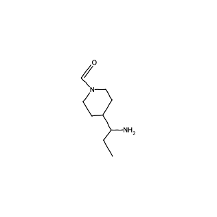 CCC(N)C1CCN(C=O)CC1